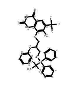 CC(C)(C)[Si](OCC(CSc1c(Cl)c(C(F)(F)F)cc2c(=O)[nH]c(=O)[nH]c12)Oc1cnccn1)(c1ccccc1)c1ccccc1